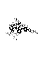 CCOc1ccc(C(c2ccc(OCC)cc2)N(C)OC(=O)C(C)NC(=O)c2nccc(OC)c2O)cc1